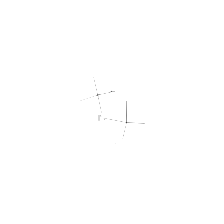 [2H]C(C)(C)NC([2H])(C)C